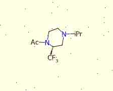 CC(=O)N1CCN(C(C)C)C[C@H]1C(F)(F)F